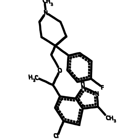 Cc1n[nH]c2c(C(C)OCC3(c4ccc(F)cc4)CCN(C)CC3)cc(Cl)cc12